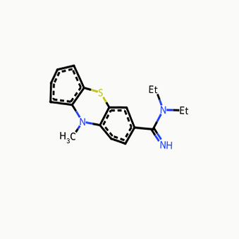 CCN(CC)C(=N)c1ccc2c(c1)Sc1ccccc1N2C